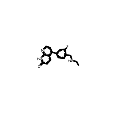 CCNCc1ccc(-c2ccnc3[nH]c(=O)ccc23)cc1F